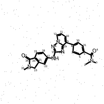 CN(C)C(=O)c1ccc(-c2cccn3nc(Nc4ccc5c(c4)CN(C)C5=O)nc23)cc1